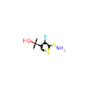 CC(C)(O)c1csc(SN)c1F